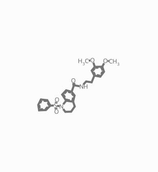 COc1ccc(CCNC(=O)c2ccc3c(c2)CCCN3S(=O)(=O)c2ccccc2)cc1OC